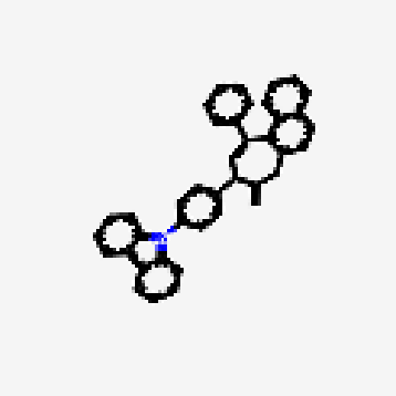 C=C1Cc2ccc3ccccc3c2C(c2ccccc2)=CC1c1ccc(-n2c3ccccc3c3ccccc32)cc1